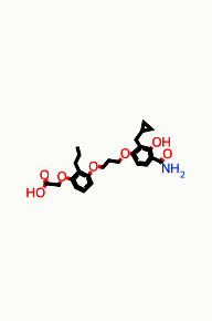 CCCc1c(OCCCOc2ccc(C(N)=O)c(O)c2CC2CC2)cccc1OCC(=O)O